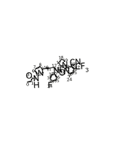 C=CC(=O)Nc1cccc(C#CCN(C(=O)C2CCCN2c2nc(C)cc(C(F)(F)F)c2C#N)c2ccc(F)cc2)n1